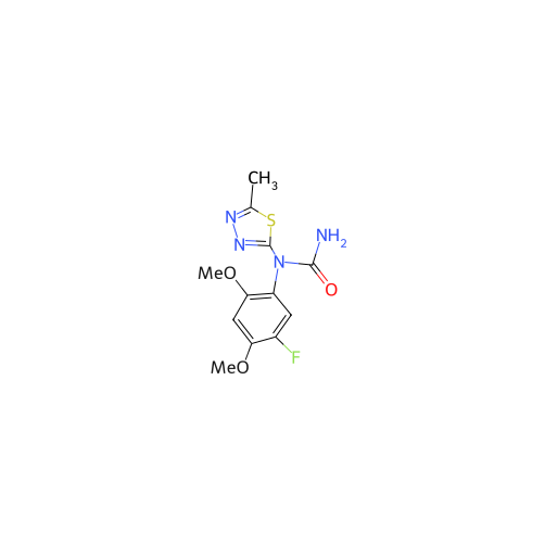 COc1cc(OC)c(N(C(N)=O)c2nnc(C)s2)cc1F